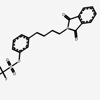 O=C1c2ccccc2C(=O)N1CCCCc1cccc(OS(=O)(=O)C(F)(F)F)c1